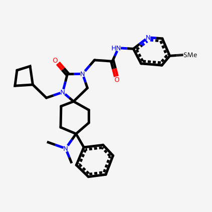 CSc1ccc(NC(=O)CN2CC3(CCC(c4ccccc4)(N(C)C)CC3)N(CC3CCC3)C2=O)nc1